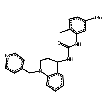 Cc1ccc(C(C)(C)C)cc1NC(=O)NC1CCN(Cc2ccncc2)c2ccccc21